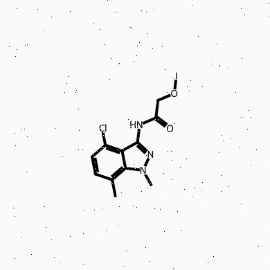 Cc1ccc(Cl)c2c(NC(=O)COI)nn(C)c12